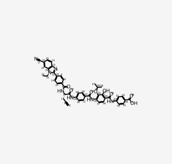 C#CC[C@H](NC(=O)c1ccc(-c2nc3ccc(C#N)cc3n2CC)cc1)C(=O)Nc1ccc(C(=O)Nc2ccc(C(=O)Nc3ccc(C(=O)O)cc3)c(O)c2OC(C)C)cc1